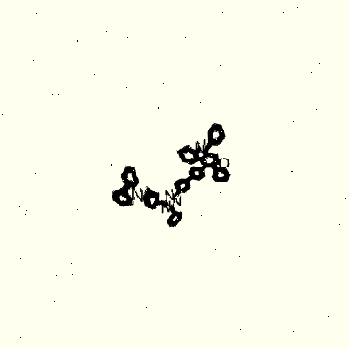 c1ccc(-c2nc(-c3ccc(-c4ccc(-c5c6c(cc7c(-c8ccccc8)nc8ccccc8c57)oc5ccccc56)cc4)cc3)nc(-c3ccc(-n4c5ccccc5c5ccccc54)cc3)n2)cc1